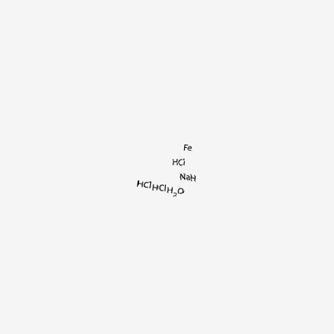 Cl.Cl.Cl.O.[Fe].[NaH]